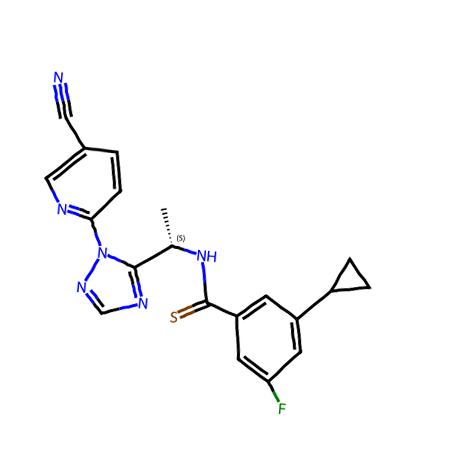 C[C@H](NC(=S)c1cc(F)cc(C2CC2)c1)c1ncnn1-c1ccc(C#N)cn1